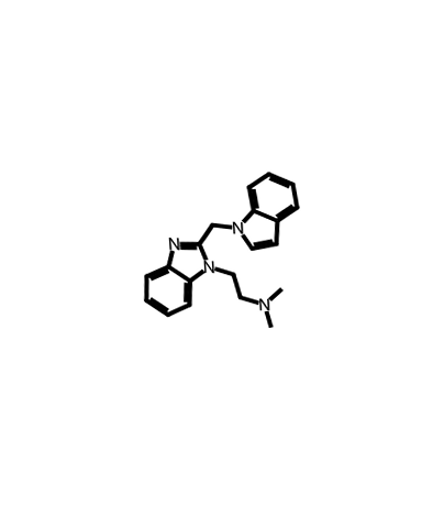 CN(C)CCn1c(Cn2ccc3ccccc32)nc2ccccc21